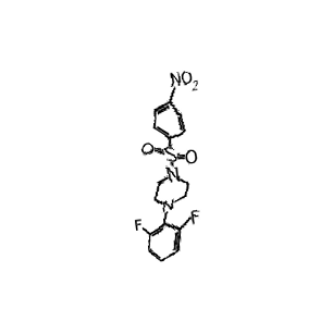 O=[N+]([O-])c1ccc(S(=O)(=O)N2CCN(c3c(F)cccc3F)CC2)cc1